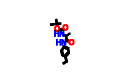 CCc1ccc(NC(=O)[C@H](C)NC(=O)OC(C)(C)C)cc1